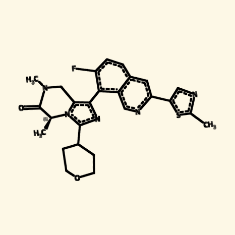 Cc1ncc(-c2cc3ccc(F)c(-c4nc(C5CCOCC5)n5c4CN(C)C(=O)[C@@H]5C)c3cn2)s1